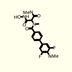 CNC(=O)C(C(=O)NO)N(C)C(=O)c1ccc(-c2cc(F)c(NC)c(F)c2)cc1